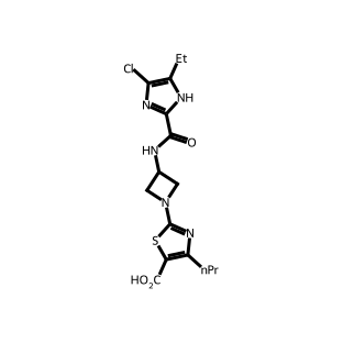 CCCc1nc(N2CC(NC(=O)c3nc(Cl)c(CC)[nH]3)C2)sc1C(=O)O